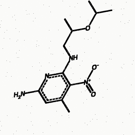 Cc1cc(N)nc(NCC(C)OC(C)C)c1[N+](=O)[O-]